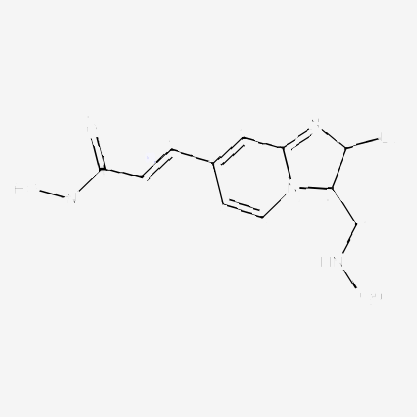 CCC1N=C2C=C(/C=C/C(=O)NO)C=CN2C1CNC(C)(C)C